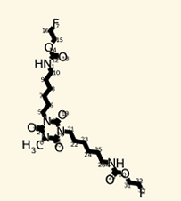 Cn1c(=O)n(CCCCCCNC(=O)OCCF)c(=O)n(CCCCCCNC(=O)OCCF)c1=O